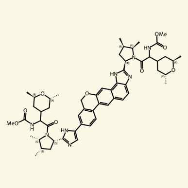 COC(=O)NC(C(=O)N1[C@@H](c2nc3ccc4cc5c(cc4c3[nH]2)OCc2cc(-c3cnc([C@@H]4C[C@H](C)[C@H](C)N4C(=O)C(NC(=O)OC)C4C[C@@H](C)O[C@H](C)C4)[nH]3)ccc2-5)C[C@@H](C)[C@H]1C)C1C[C@@H](C)O[C@H](C)C1